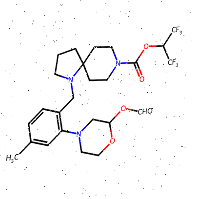 Cc1ccc(CN2CCCC23CCN(C(=O)OC(C(F)(F)F)C(F)(F)F)CC3)c(N2CCOC(OC=O)C2)c1